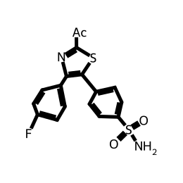 CC(=O)c1nc(-c2ccc(F)cc2)c(-c2ccc(S(N)(=O)=O)cc2)s1